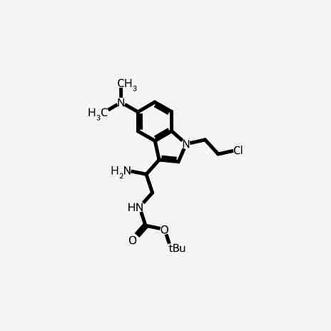 CN(C)c1ccc2c(c1)c(C(N)CNC(=O)OC(C)(C)C)cn2CCCl